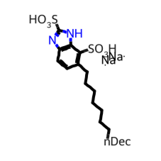 CCCCCCCCCCCCCCCCCc1ccc2nc(S(=O)(=O)O)[nH]c2c1S(=O)(=O)O.[Na].[Na]